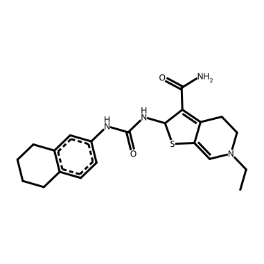 CCN1C=C2SC(NC(=O)Nc3ccc4c(c3)CCCC4)C(C(N)=O)=C2CC1